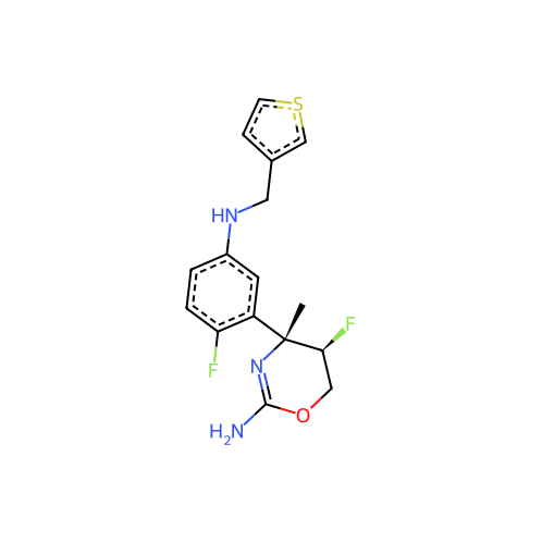 C[C@]1(c2cc(NCc3ccsc3)ccc2F)N=C(N)OC[C@@H]1F